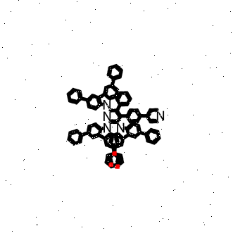 c1ccc(-c2ccc3c(c2)c2cc(-c4ccccc4)ccc2n3-c2nc(-n3c4ccc(-c5ccccc5)cc4c4cc(-c5ccccc5)ccc43)c(-n3c4ccc(-c5ccccc5)cc4c4cc(-c5ccccc5)ccc43)c(-c3ccc(-c4ccncc4)cc3)c2-c2ccccc2)cc1